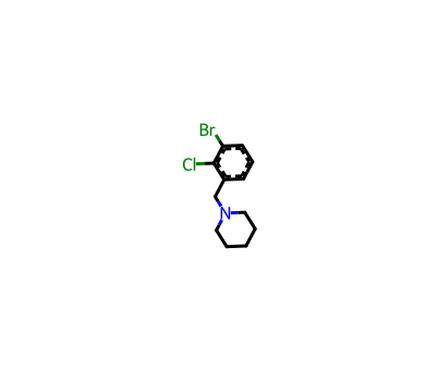 Clc1c(Br)cccc1CN1CCCCC1